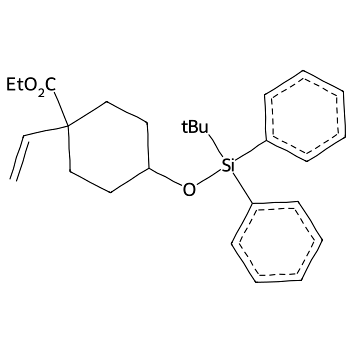 C=CC1(C(=O)OCC)CCC(O[Si](c2ccccc2)(c2ccccc2)C(C)(C)C)CC1